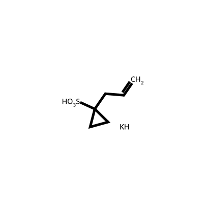 C=CCC1(S(=O)(=O)O)CC1.[KH]